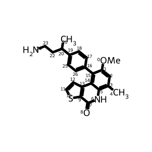 COc1cc(C)c2[nH]c(=O)c3sccc3c2c1-c1ccc(C(C)CCN)cc1